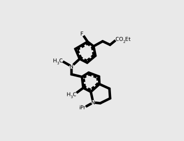 CCOC(=O)CCc1ccc(N(C)Cc2ccc3c(c2C)N(C(C)C)CCC3)cc1F